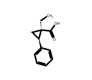 CC[C@@]1(C(=O)O)C[C@@H]1c1ccccc1